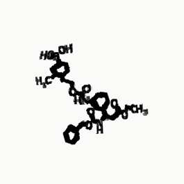 CCOC(=O)C[C@@H](NC(=O)OCc1ccccc1)c1cccc(NC(=O)OCCc2ccc(B(O)O)cc2C)c1